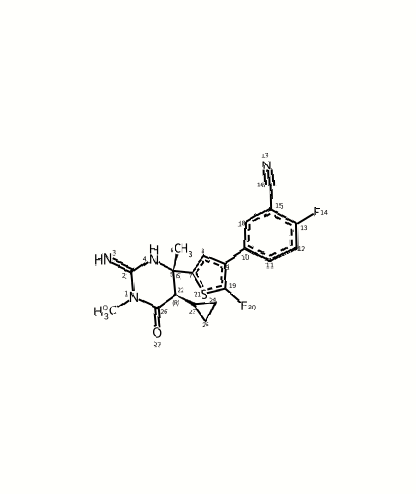 CN1C(=N)N[C@](C)(c2cc(-c3ccc(F)c(C#N)c3)c(F)s2)[C@@H](C2CC2)C1=O